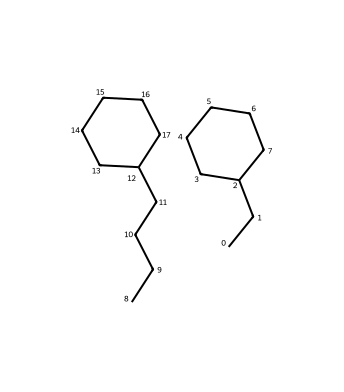 CCC1CCCCC1.CCCCC1CCCCC1